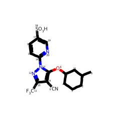 CC1CCCC(Oc2c(C#N)c(C(F)(F)F)nn2-c2ccc(S(=O)(=O)O)cn2)C1